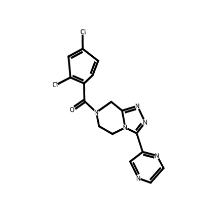 O=C(c1ccc(Cl)cc1Cl)N1CCn2c(nnc2-c2cnccn2)C1